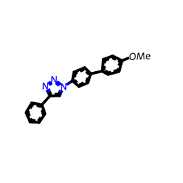 COc1ccc(-c2ccc(-n3cc(-c4ccccc4)nn3)cc2)cc1